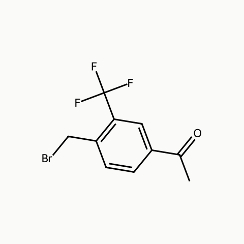 CC(=O)c1ccc(CBr)c(C(F)(F)F)c1